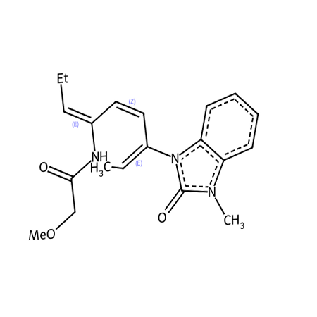 C\C=C(/C=C\C(=C/CC)NC(=O)COC)n1c(=O)n(C)c2ccccc21